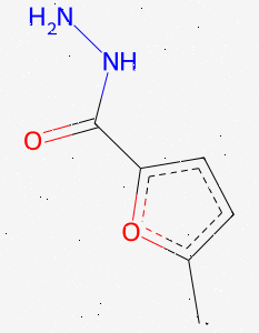 [CH2]c1ccc(C(=O)NN)o1